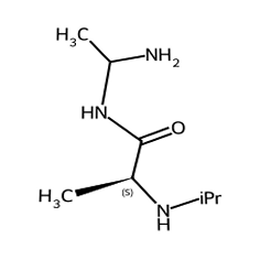 CC(C)N[C@@H](C)C(=O)NC(C)N